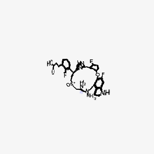 N/C1=C\N(N)Cc2c(c(F)cc3[nH]ccc23)Oc2ccc(F)c(c2)-c2ncc([nH]2)C(c2cccc(CCC(=O)O)c2F)CC[S+]([O-])CC1